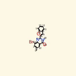 Cc1cc(Br)c2nc(-c3cc4ccccc4o3)n(C)c(=O)c2c1